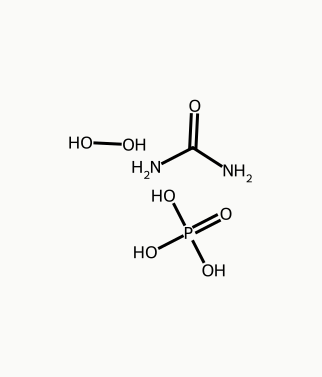 NC(N)=O.O=P(O)(O)O.OO